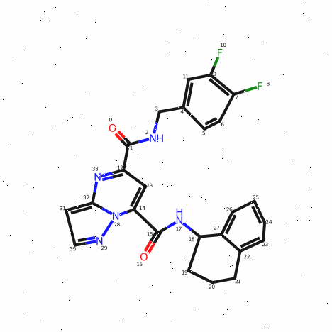 O=C(NCc1ccc(F)c(F)c1)c1cc(C(=O)NC2CCCc3ccccc32)n2nccc2n1